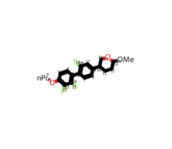 CCCOc1ccc(-c2ccc(C3CCC(OC)OC3)cc2F)c(F)c1F